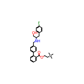 C[Si](C)(C)CCOC(=O)c1ccccc1-c1ccc(CNC(CO)Cc2ccc(F)cc2)cc1